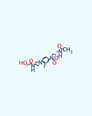 CC(=O)NC[C@H]1CN(c2ccc(N3CC(NC(=O)CO)C3)c(F)c2)C(=O)O1